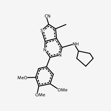 COc1cc(-c2nc(NC3CCCC3)c3c(C)c(C#N)sc3n2)cc(OC)c1OC